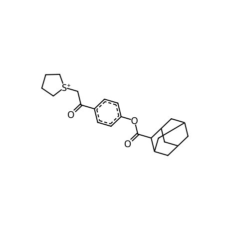 O=C(C[S+]1CCCC1)c1ccc(OC(=O)C2C3CC4CC(C3)CC2C4)cc1